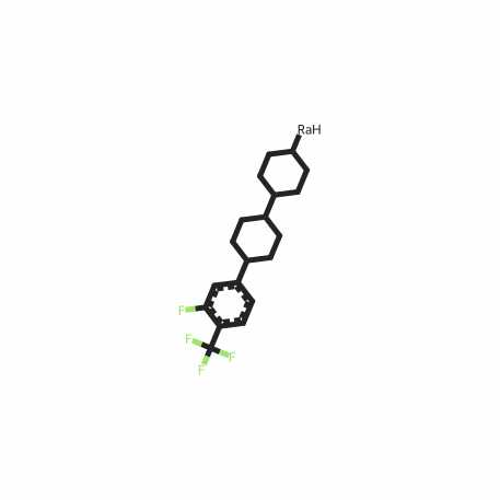 Fc1cc(C2CCC(C3CC[CH]([RaH])CC3)CC2)ccc1C(F)(F)F